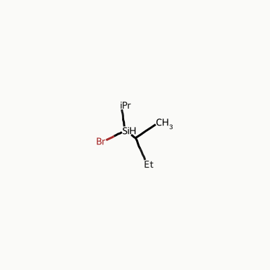 CCC(C)[SiH](Br)C(C)C